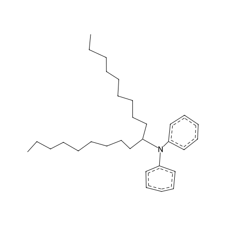 CCCCCCCCCC(CCCCCCCCC)N(c1ccccc1)c1ccccc1